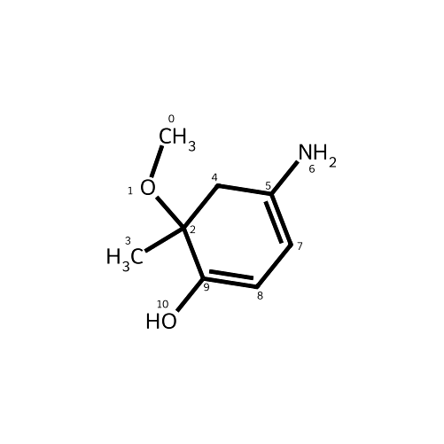 COC1(C)CC(N)=CC=C1O